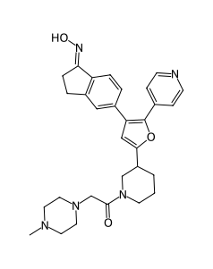 CN1CCN(CC(=O)N2CCCC(c3cc(-c4ccc5c(c4)CCC5=NO)c(-c4ccncc4)o3)C2)CC1